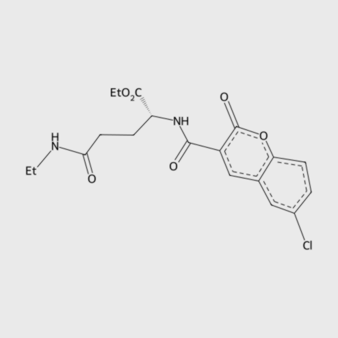 CCNC(=O)CC[C@@H](NC(=O)c1cc2cc(Cl)ccc2oc1=O)C(=O)OCC